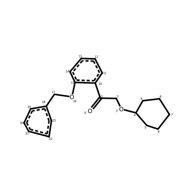 O=C(COC1CCCCC1)c1ccccc1OCc1ccccc1